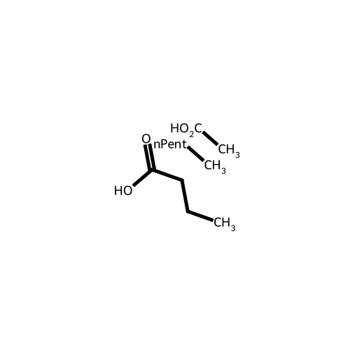 CC(=O)O.CCCC(=O)O.CCCCCC